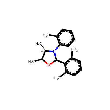 Cc1ccccc1N1C(c2c(C)cccc2C)OC(C)[C@@H]1C